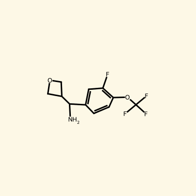 NC(c1ccc(OC(F)(F)F)c(F)c1)C1COC1